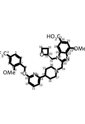 COc1cc(C(F)(F)F)ccc1COc1cccc(C2CCN(Cc3nc4c(OC)cc(C(=O)O)cc4n3C[C@@H]3CCO3)CC2)n1